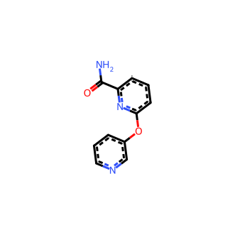 NC(=O)c1[c]ccc(Oc2cccnc2)n1